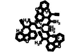 B/C(CN(C/C(B)=C(B)\C(=C(\B)C#C)c1cccc2oc3ccccc3c12)C/C(B)=C(B)\C(=C(\B)C#C)c1cccc2oc3ccccc3c12)=C(B)/C(=C(/B)C#C)c1cccc2oc3ccccc3c12